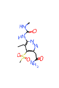 CNC(=O)Nc1nnc(C(N)=O)c(S(C)(=O)=O)c1C